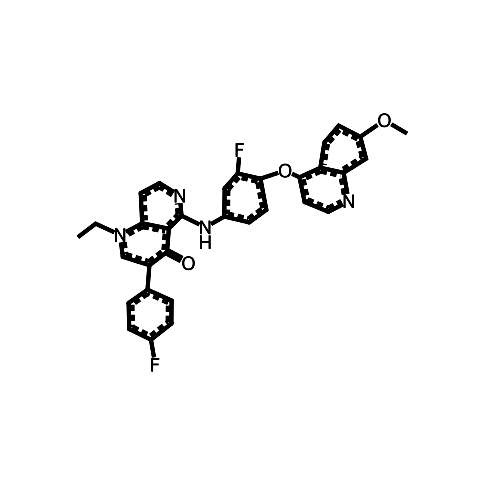 CCn1cc(-c2ccc(F)cc2)c(=O)c2c(Nc3ccc(Oc4ccnc5cc(OC)ccc45)c(F)c3)nccc21